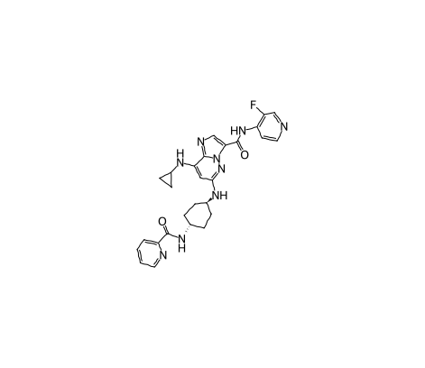 O=C(N[C@H]1CC[C@H](Nc2cc(NC3CC3)c3ncc(C(=O)Nc4ccncc4F)n3n2)CC1)c1ccccn1